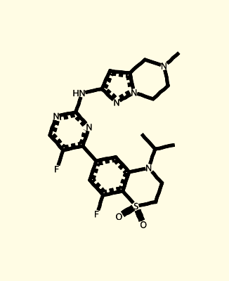 CC(C)N1CCS(=O)(=O)c2c(F)cc(-c3nc(Nc4cc5n(n4)CCN(C)C5)ncc3F)cc21